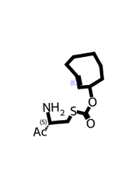 CC(=O)[C@H](N)CSC(=O)OC1/C=C/CCCCC1